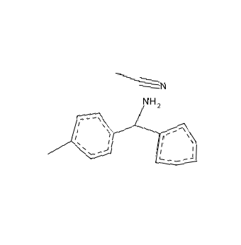 CC#N.Cc1ccc(C(N)c2ccccc2)cc1